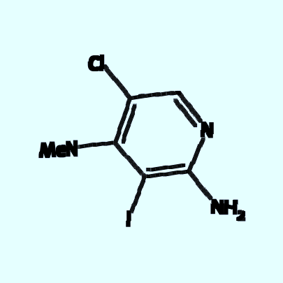 CNc1c(Cl)cnc(N)c1I